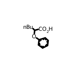 CCCCC(Oc1ccccc1)C(=O)O